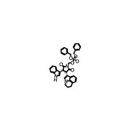 O=C1[C@H](c2c[nH]c3ccccc23)[C@@H](c2cn3c4c(cccc24)CCC3)C(=O)N1COP(=O)(OCc1ccccc1)OCc1ccccc1